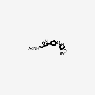 CC(=O)NCCc1cc(-c2ccc(Oc3ccc(OC(C)C)cn3)cc2)no1